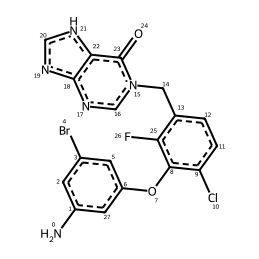 Nc1cc(Br)cc(Oc2c(Cl)ccc(Cn3cnc4nc[nH]c4c3=O)c2F)c1